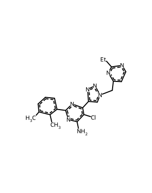 CCc1nccc(Cn2cc(-c3nc(-c4cccc(C)c4C)nc(N)c3Cl)nn2)n1